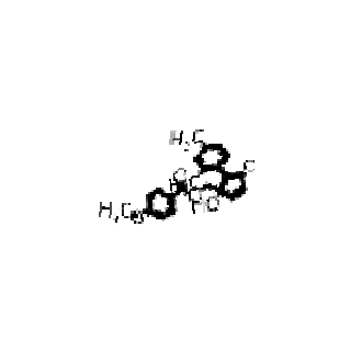 COc1ccc(C(=O)OC[C@]2(O)C=CC(=O)C2c2ccc(C)cc2C)cc1